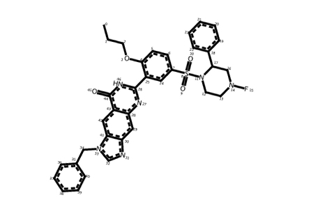 CCCOc1ccc(S(=O)(=O)N2CCN(F)CC2c2ccccc2)cc1-c1nc2cc3ncn(Cc4ccccc4)c3cc2c(=O)[nH]1